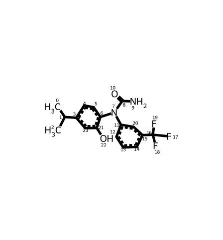 CC(C)c1ccc(N(C(N)=O)c2cccc(C(F)(F)F)c2)c(O)c1